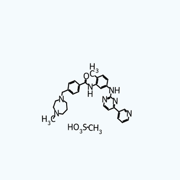 CS(=O)(=O)O.Cc1ccc(Nc2nccc(-c3cccnc3)n2)cc1NC(=O)c1ccc(CN2CCCN(C)CC2)cc1